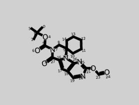 CC(C)(C)OC(=O)N1CC2(CCCCC2)n2c(cc3cnc(OC=O)nc32)C1=O